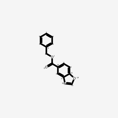 O=C(OCc1ccccc1)c1ccc2ocnc2c1